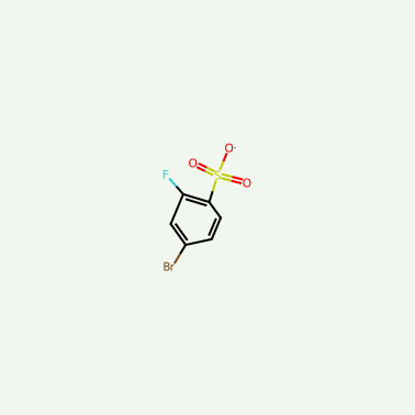 [O]S(=O)(=O)c1ccc(Br)cc1F